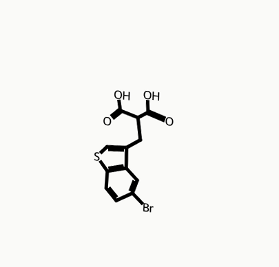 O=C(O)C(Cc1csc2ccc(Br)cc12)C(=O)O